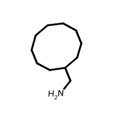 NCC1CCCCCCCCC1